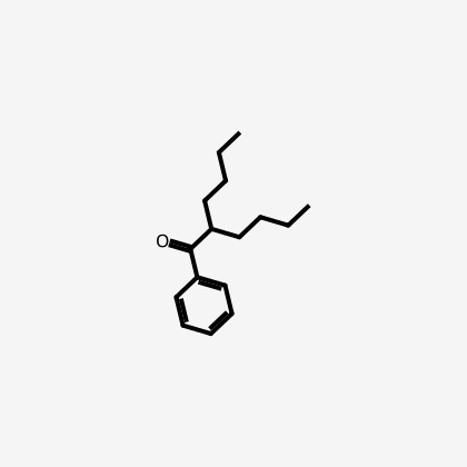 CCCCC(CCCC)C(=O)c1ccccc1